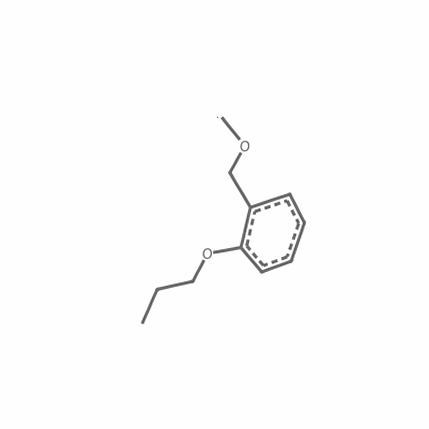 [CH2]OCc1ccccc1OCCC